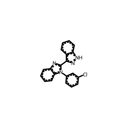 Clc1cccc(-n2c(-c3n[nH]c4ccccc34)nc3ccccc32)c1